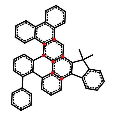 CC1(C)c2ccccc2-c2ccc(N(c3cccc(-c4ccccc4)c3-c3ccccc3-c3ccccc3)c3cc4ccccc4c4ccccc34)cc21